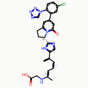 C=C(/C=C\C=C(/C)NCC(=O)O)c1cnc([C@@H]2CCc3cc(-c4cc(Cl)ccc4-n4cnnn4)cc(=O)n32)[nH]1